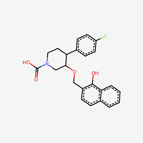 O=C(O)N1CCC(c2ccc(F)cc2)C(OCc2ccc3ccccc3c2O)C1